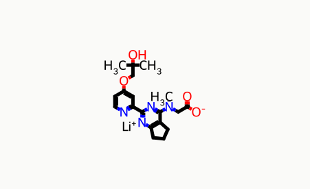 CN(CC(=O)[O-])c1nc(-c2cc(OCC(C)(C)O)ccn2)nc2c1CCC2.[Li+]